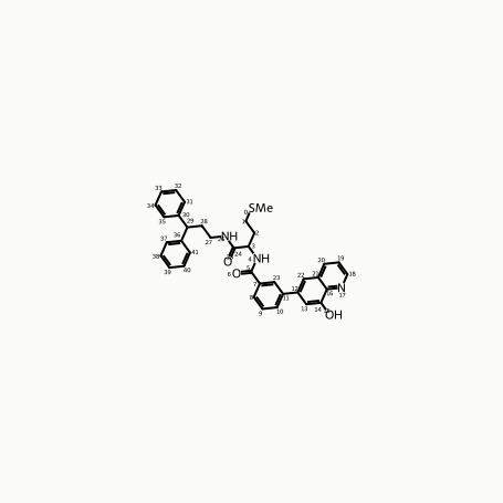 CSCCC(NC(=O)c1cccc(-c2cc(O)c3ncccc3c2)c1)C(=O)NCCC(c1ccccc1)c1ccccc1